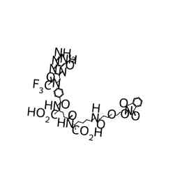 Nc1nc2ncc(CN(C(=O)C(F)(F)F)c3ccc(C(=O)N[C@@H](CCC(=O)N[C@@H](CCCCNC(=O)CCOCCON4C(=O)c5ccccc5C4=O)C(=O)O)C(=O)O)cc3)nc2c(=O)[nH]1